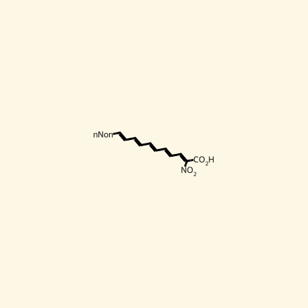 CCCCCCCCCC=CC=CC=CC=CC=C(C(=O)O)[N+](=O)[O-]